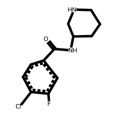 O=C(NC1CCCNC1)c1ccc(Cl)c(F)c1